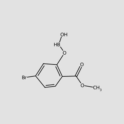 COC(=O)c1ccc(Br)cc1OBO